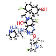 C=Cc1c(F)ccc2cc(O)cc(-c3nc(O)c4c(N[C@@H](C)c5cccnc5N)nc(OC[C@@]56CCCN5C[C@H](F)C6)nc4c3F)c12